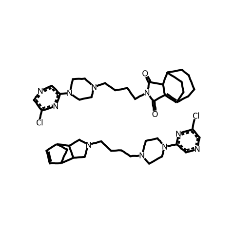 Clc1cncc(N2CCN(CCCCN3CC4C5C=CC(C5)C4C3)CC2)n1.O=C1C2=C3CCCCC(CC3)C2C(=O)N1CCCCN1CCN(c2cncc(Cl)n2)CC1